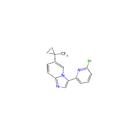 FC(F)(F)C1(c2ccc3ncc(-c4cccc(Br)n4)n3c2)CC1